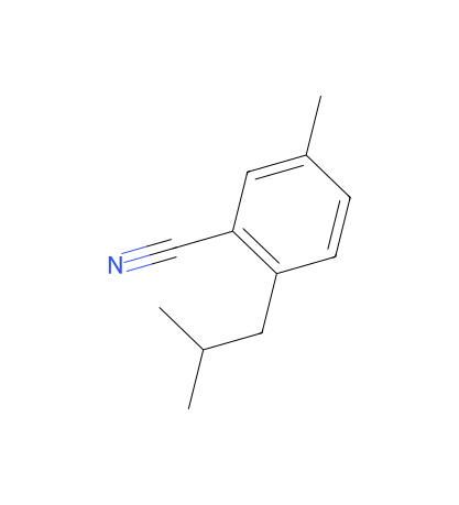 Cc1ccc(CC(C)C)c(C#N)c1